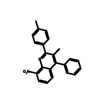 Cc1ccc(-c2nc3c([N+](=O)[O-])cccc3c(-c3ccccc3)c2C)cc1